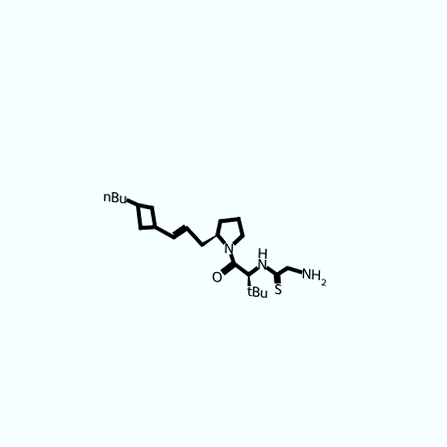 CCCCC1CC(/C=C/C[C@H]2CCCN2C(=O)[C@@H](NC(=S)CN)C(C)(C)C)C1